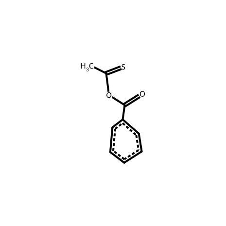 CC(=S)OC(=O)c1ccccc1